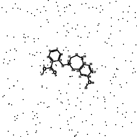 COC(=O)c1ccccc1CN1CCSc2cnc(OC)cc2C1